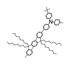 CCCCCCCCC1(CCCCCCCC)c2cc(C)ccc2-c2cc3c(cc21)-c1ccc(-c2ccc(N(c4ccc(C)cc4)c4ccc(C(C)(C)C)cc4)cc2)cc1C3(CCCCCCCC)CCCCCCCC